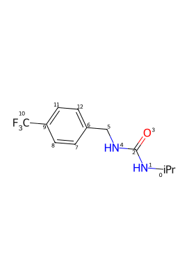 CC(C)NC(=O)NCc1ccc(C(F)(F)F)cc1